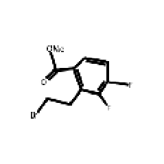 COC(=O)c1ccc(F)c(F)c1CCBr